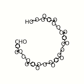 O=Cc1ccc(C(=O)OCCOCCOC(=O)c2ccc(C(=O)OCCOCCOC(=O)c3ccc(C(=O)OCCOCCOC(=O)c4ccc(C(=O)OCCOCCOC(=O)c5ccc(C(=O)OCCOCCO)cc5)cc4)cc3)cc2)cc1